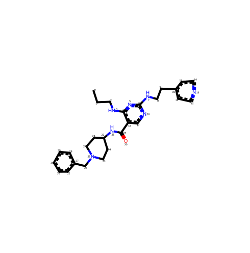 CCCNc1nc(NCCc2ccncc2)ncc1C(=O)NC1CCN(Cc2ccccc2)CC1